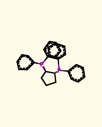 c1ccc(P(c2ccccc2)[C@@H]2CCC[C@H]2P(c2ccccc2)c2ccccc2)cc1